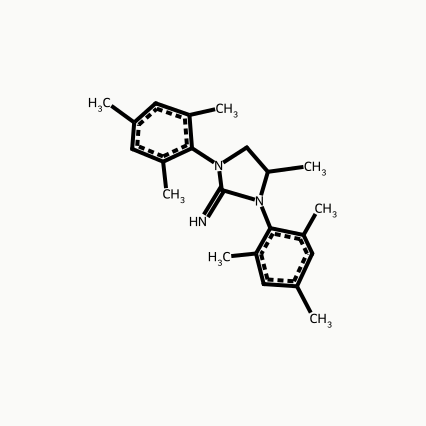 Cc1cc(C)c(N2CC(C)N(c3c(C)cc(C)cc3C)C2=N)c(C)c1